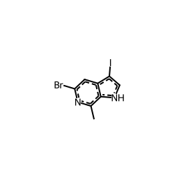 Cc1nc(Br)cc2c(I)c[nH]c12